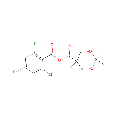 CC1(C)OCC(C)(C(=O)OC(=O)c2c(Cl)cc(Cl)cc2Cl)CO1